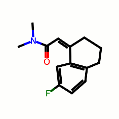 CN(C)C(=O)/C=C1/CCCc2ccc(F)cc21